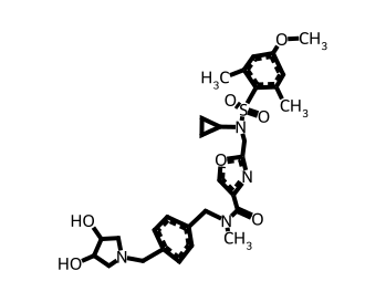 COc1cc(C)c(S(=O)(=O)N(Cc2nc(C(=O)N(C)Cc3ccc(CN4CC(O)C(O)C4)cc3)co2)C2CC2)c(C)c1